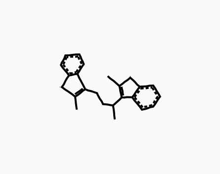 CC1=C(CCC(C)C2=C(C)[CH]c3ccccc32)c2ccccc2[CH]1